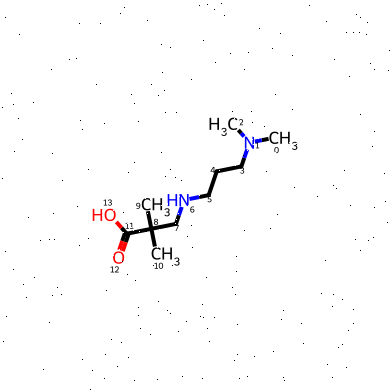 CN(C)CCCNCC(C)(C)C(=O)O